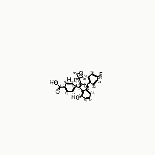 CC1(c2c(-c3ccc(C(=O)O)cc3)c3c(O)cccc3n2-c2ccc(F)cc2)COC1